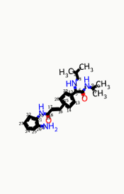 CC(C)CNC(C(=O)NC(C)C)c1ccc(/C=C/C(=O)Nc2ccccc2N)cc1